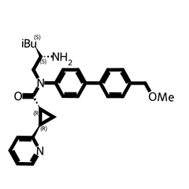 CC[C@H](C)[C@H](N)CN(C(=O)[C@@H]1C[C@H]1c1ccccn1)c1ccc(-c2ccc(COC)cc2)cc1